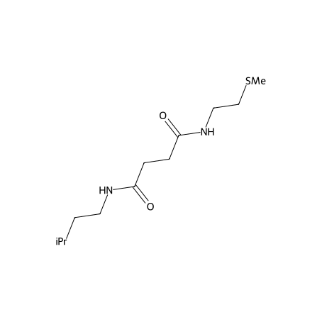 CSCCNC(=O)CCC(=O)NCCC(C)C